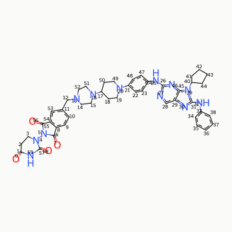 O=C1CCN(N2C(=O)c3ccc(CN4CCN(C5CCN(c6ccc(Nc7ncc8nc(Nc9ccccc9)n(C9CCCC9)c8n7)cc6)CC5)CC4)cc3C2=O)C(=O)N1